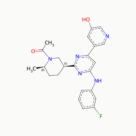 CC(=O)N1C[C@@H](c2nc(Nc3cccc(F)c3)cc(-c3cncc(O)c3)n2)CC[C@H]1C